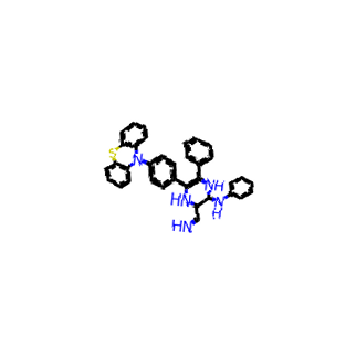 N=CC1NC(c2ccc(N3c4ccccc4Sc4ccccc43)cc2)=C(c2ccccc2)NC1Nc1ccccc1